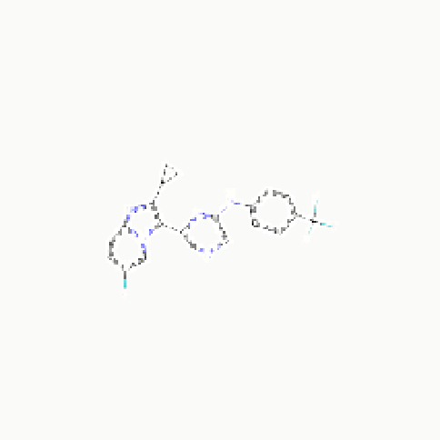 Fc1ccc2nc(C3CC3)c(-c3cncc(Nc4ccc(C(F)(F)F)cc4)n3)n2c1